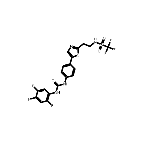 O=C(Nc1ccc(-c2cnc(CCNS(=O)(=O)C(F)(F)F)s2)cc1)Nc1cc(F)c(F)cc1F